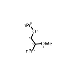 C[CH]COCC(CCC)OC